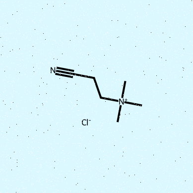 C[N+](C)(C)CCC#N.[Cl-]